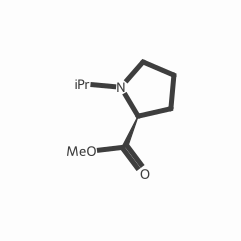 COC(=O)[C@@H]1CCCN1C(C)C